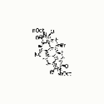 CCCCCCCCN1C(=O)c2ccc3c4c(Br)cc5c6c(cc(C#N)c(c7ccc(c2c37)C1=O)c64)C(=O)N(CCCCCCCC)C5=O